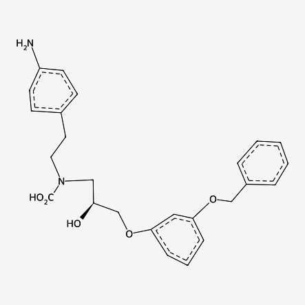 Nc1ccc(CCN(C[C@H](O)COc2cccc(OCc3ccccc3)c2)C(=O)O)cc1